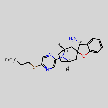 CCOC(=O)CCSc1cnc(N2[C@@H]3CC[C@@H]2CC2(C3)Oc3ccccc3[C@H]2N)cn1